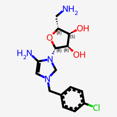 NC[C@H]1O[C@@H](N2CN(Cc3ccc(Cl)cc3)C=C2N)[C@H](O)[C@@H]1O